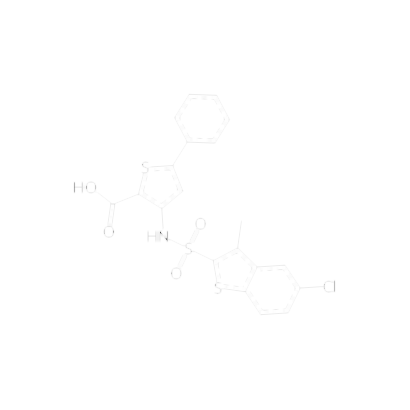 Cc1c(S(=O)(=O)Nc2cc(-c3ccccc3)sc2C(=O)O)sc2ccc(Cl)cc12